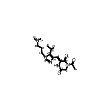 CC(=O)N1CC(=O)N/C(=C\c2ncn(CCCN(C)C)c2C(C)C)C1=O